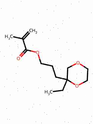 C=C(C)C(=O)OCCCC1(CC)COCCO1